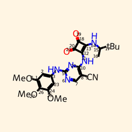 COc1cc(Nc2ncc(C#N)c(Nc3c(NC(C)C(C)(C)C)c(=O)c3=O)n2)cc(OC)c1OC